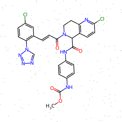 COC(=O)Nc1ccc(NC(=O)C2c3ccc(Cl)nc3CCN2C(=O)C=Cc2cc(Cl)ccc2-n2cnnn2)cc1